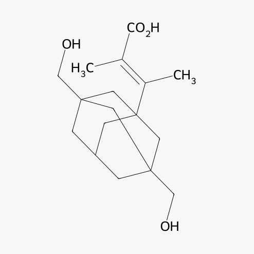 CC(C(=O)O)=C(C)C12CC3CC(CO)(CC(CO)(C3)C1)C2